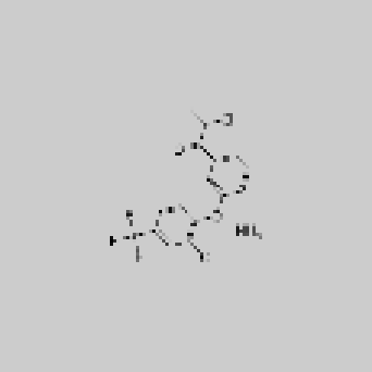 CC(Cl)C(=O)c1cccc(Oc2ccc(C(F)(F)F)cc2Cl)c1.N